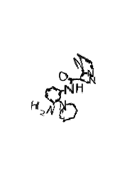 Nc1cccc(NC(=O)c2cnn3cccnc23)c1N1CCCCC1